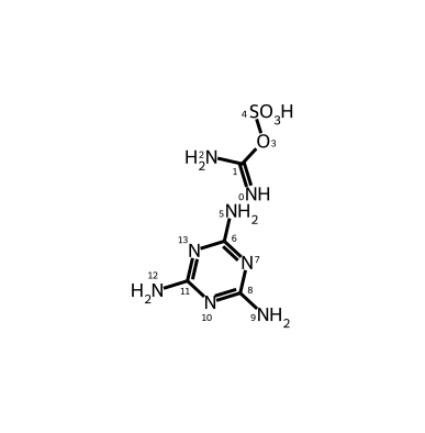 N=C(N)OS(=O)(=O)O.Nc1nc(N)nc(N)n1